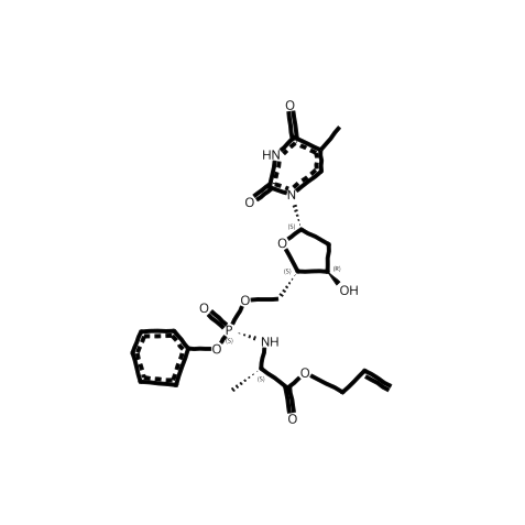 C=CCOC(=O)[C@H](C)N[P@](=O)(OC[C@@H]1O[C@H](n2cc(C)c(=O)[nH]c2=O)C[C@H]1O)Oc1ccccc1